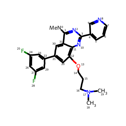 CNc1nc(-c2cccnc2)nc2c(OCCCN(C)C)cc(-c3cc(F)cc(F)c3)cc12